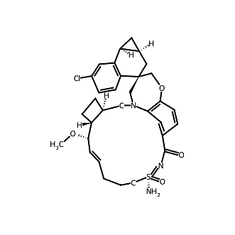 CO[C@H]1/C=C/CCC[S@](N)(=O)=NC(=O)c2ccc3c(c2)N(C[C@@H]2CC[C@H]21)C[C@]1(CO3)C[C@@H]2C[C@@H]2c2cc(Cl)ccc21